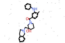 Cc1ccc(C(=O)N2CCCC(O)(CN3CCc4ccccc4C3)C2)cc1Nc1ccccc1